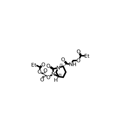 CCC(=O)OCNC(=O)[C@@H]1CC[C@@H]2CN1C(=O)N2OS(=O)(=O)OC(=O)CC